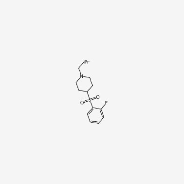 C[C](C)CN1CCC(S(=O)(=O)c2ccccc2F)CC1